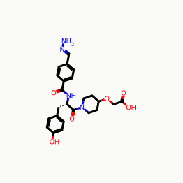 NN=Cc1ccc(C(=O)N[C@@H](Cc2ccc(O)cc2)C(=O)N2CCC(OCC(=O)O)CC2)cc1